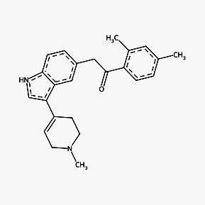 Cc1ccc(C(=O)Cc2ccc3[nH]cc(C4=CCN(C)CC4)c3c2)c(C)c1